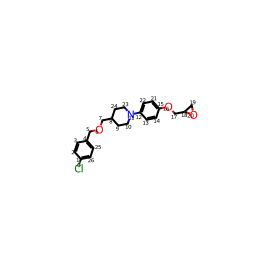 Clc1ccc(COCC2CCN(c3ccc(OCC4CO4)cc3)CC2)cc1